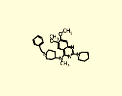 COc1cc2nc(N3CCCCC3)nc(N(C)C3CCN(Cc4ccccc4)CC3)c2cc1OC